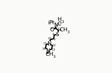 CC(C)N(C)C(=O)[C@H](C)SCCCN1CCN(C)CC1